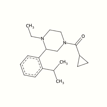 CCN1CCN(C(=O)C2CC2)CC1c1ccccc1C(C)C